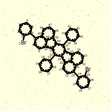 Brc1ccccc1-c1ccc2c3c(-c4ccccc4)c4c5ccc(-c6ccccc6Br)c6cccc(c4c(-c4ccccc4)c3c3cccc1c32)c65